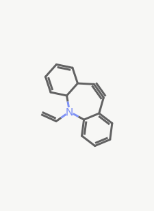 C=CN1c2ccccc2C#CC2C=CC=CC21